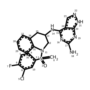 C=S(=O)(c1ccc(F)c(Cl)c1)N1CC(Nc2nc(N)nc3[nH]ncc23)Cc2ccccc21